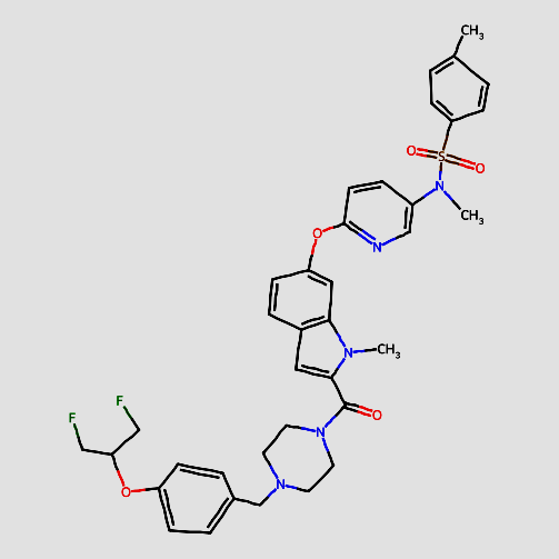 Cc1ccc(S(=O)(=O)N(C)c2ccc(Oc3ccc4cc(C(=O)N5CCN(Cc6ccc(OC(CF)CF)cc6)CC5)n(C)c4c3)nc2)cc1